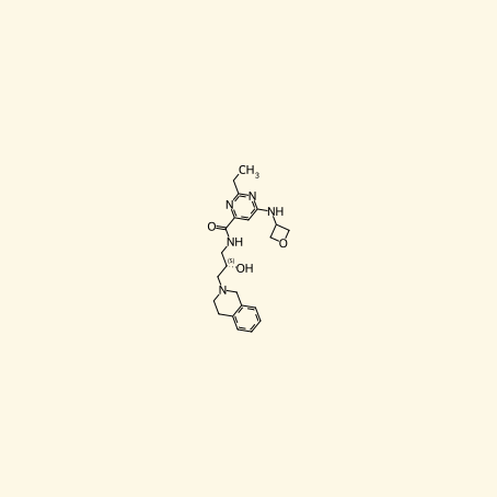 CCc1nc(NC2COC2)cc(C(=O)NC[C@H](O)CN2CCc3ccccc3C2)n1